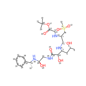 CCCC(N[C@@H](O)C(CS(C)(=O)=O)NCC(=O)OC(C)(C)C)C(O)C(=O)NC[C@@H](O)N[C@H](C)c1ccccc1